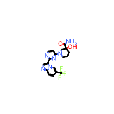 NC(=O)C1(O)CCCN(c2ccnc(-c3cnc4ccc(C(F)(F)F)cn34)n2)C1